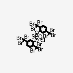 S=P(OCl)(Oc1cc(C(Br)(Br)Br)ccc1C(Br)(Br)Br)Oc1cc(C(Br)(Br)Br)ccc1C(Br)(Br)Br